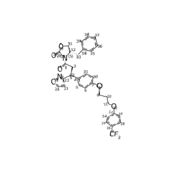 O=C(C[C@@H](c1ccc(OCCCOc2ccc(C(F)(F)F)cc2)cc1)c1ccon1)N1C(=O)OC[C@@H]1Cc1ccccc1